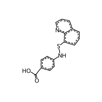 O=C(O)c1ccc(NSc2cccc3cccnc23)cc1